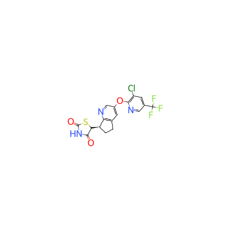 O=C1NC(=O)C([C@@H]2CCc3cc(Oc4ncc(C(F)(F)F)cc4Cl)cnc32)S1